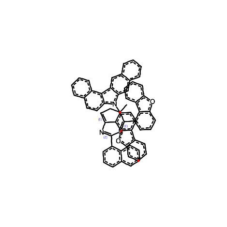 CC1C/C=C(c2c(-n3c4cc5ccccc5cc4c4c5ccccc5ccc43)ccc3c2oc2ccccc23)/N=C(c2cccc3ccccc23)\N=C/1c1cccc2oc3ccccc3c12